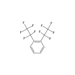 FC(F)(F)C(F)(F)c1[c]cccc1C(F)(F)C(F)(F)F